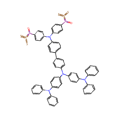 O=P(c1ccc(N(c2ccc(-c3ccc(N(c4ccc(N(c5ccccc5)c5ccccc5)cc4)c4ccc(N(c5ccccc5)c5ccccc5)cc4)cc3)cc2)c2ccc(P(=O)=S(=S)=S)cc2)cc1)=S(=S)=S